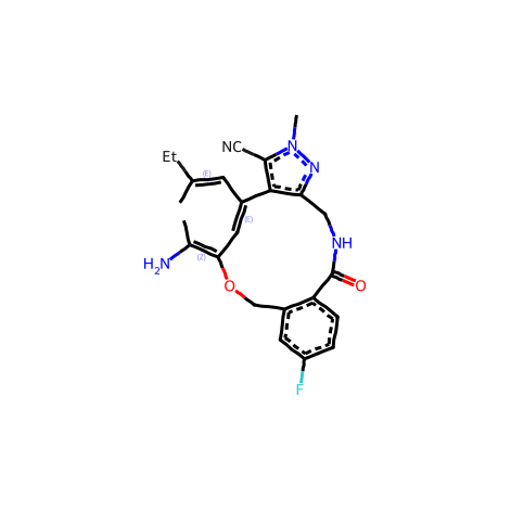 CC/C(C)=C/C1=C\C(=C(/C)N)OCc2cc(F)ccc2C(=O)NCc2nn(C)c(C#N)c21